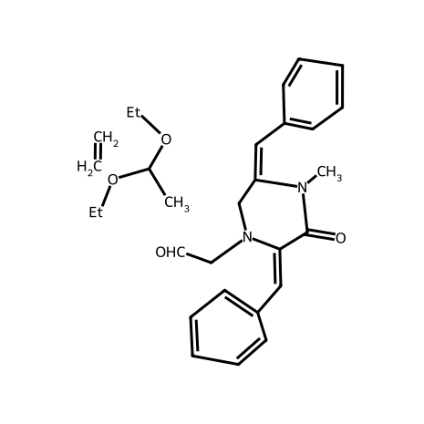 C=C.CCOC(C)OCC.CN1C(=O)/C(=C/c2ccccc2)N(CC=O)C/C1=C/c1ccccc1